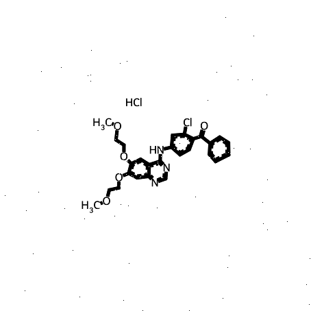 COCCOc1cc2ncnc(Nc3ccc(C(=O)c4ccccc4)c(Cl)c3)c2cc1OCCOC.Cl